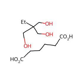 CCC(CO)(CO)CO.O=C(O)CCCCC(=O)O